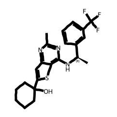 Cc1nc(N[C@H](C)c2cccc(C(F)(F)F)c2)c2sc(C3(O)CCCCC3)cc2n1